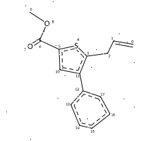 C=CCc1sc(C(=O)OC)cc1-c1ccccc1